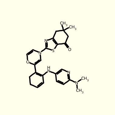 CN(C)c1ccc(NC2=C(C3=CN(c4nc5c(s4)C(=O)CC(C)(C)C5)C=CO3)CCC=C2)cn1